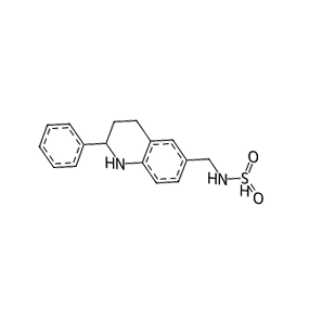 O=[SH](=O)NCc1ccc2c(c1)CCC(c1ccccc1)N2